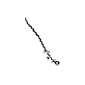 CCC=CCC=CCC=CCC=CCC=CCC=CCCC(=O)NCCN(CCNC(=O)c1cccnc1)C(C)=O